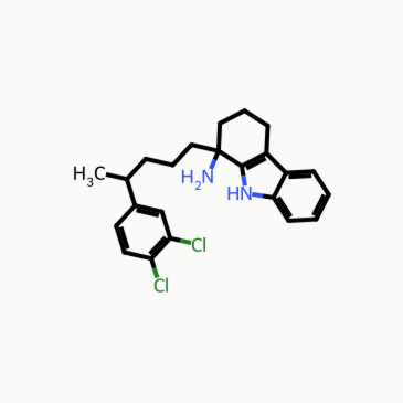 CC(CCCC1(N)CCCc2c1[nH]c1ccccc21)c1ccc(Cl)c(Cl)c1